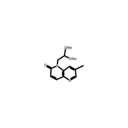 COC(Cn1c(=O)ccc2ncc(C)cc21)OC